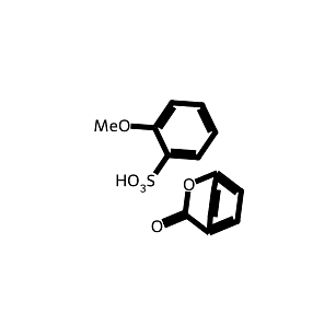 COc1ccccc1S(=O)(=O)O.O=c1oc2ccc1cc2